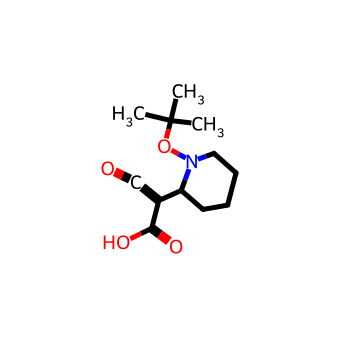 CC(C)(C)ON1CCCCC1C(=C=O)C(=O)O